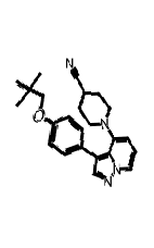 CC(C)(C)COc1ccc(-c2cnn3cccc(N4CCC(C#N)CC4)c23)cc1